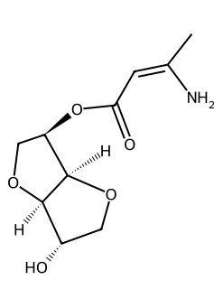 C/C(N)=C/C(=O)O[C@@H]1CO[C@H]2[C@@H]1OC[C@@H]2O